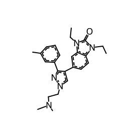 CCn1c(=O)n(CC)c2cc(-c3cn(CCN(C)C)nc3-c3cccc(C)c3)ccc21